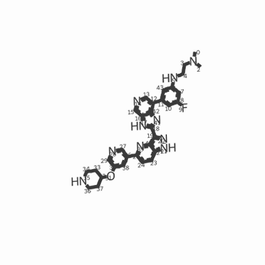 CN(C)CCNc1cc(F)cc(-c2cncc3[nH]c(-c4n[nH]c5ccc(-c6cncc(OC7CCNCC7)c6)nc45)nc23)c1